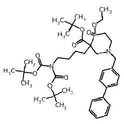 CCOP1(=O)CCN(Cc2ccc(-c3ccccc3)cc2)CC1(CCCCN(C(=O)OC(C)(C)C)C(=O)OC(C)(C)C)C(=O)OC(C)(C)C